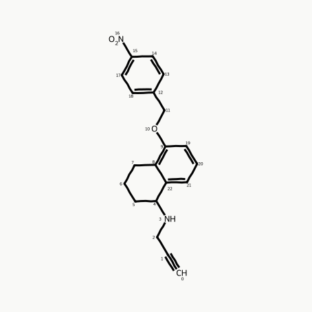 C#CCNC1CCCc2c(OCc3ccc([N+](=O)[O-])cc3)cccc21